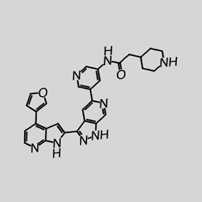 O=C(CC1CCNCC1)Nc1cncc(-c2cc3c(-c4cc5c(-c6ccoc6)ccnc5[nH]4)n[nH]c3cn2)c1